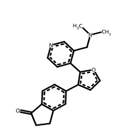 CN(C)Cc1cnccc1-c1occc1-c1ccc2c(c1)CCC2=O